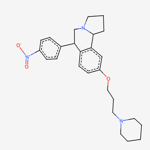 O=[N+]([O-])c1ccc(C2CN3CCCC3c3cc(OCCCN4CCCCC4)ccc32)cc1